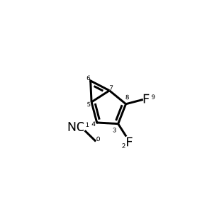 CC#N.Fc1cc2cc-2c1F